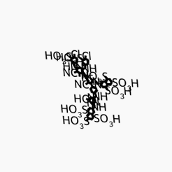 Cc1c(C#N)c(Nc2ccc(Cl)c(S(=O)(=O)O)c2)nc(Nc2ccc(Cl)c(S(=O)(=O)O)c2)c1N=Nc1sc(N=Nc2cc(S(=O)(=O)O)c3cc(S(=O)(=O)O)cc(S(=O)(=O)O)c3c2)c(-c2ccc(Nc3nc(O)nc(Nc4cc(S(=O)(=O)O)c5cc(S(=O)(=O)O)cc(S(=O)(=O)O)c5c4)n3)cc2)c1C#N